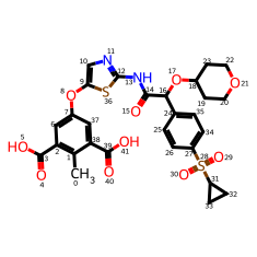 Cc1c(C(=O)O)cc(Oc2cnc(NC(=O)C(OC3CCOCC3)c3ccc(S(=O)(=O)C4CC4)cc3)s2)cc1C(=O)O